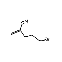 C=C(O)CCCBr